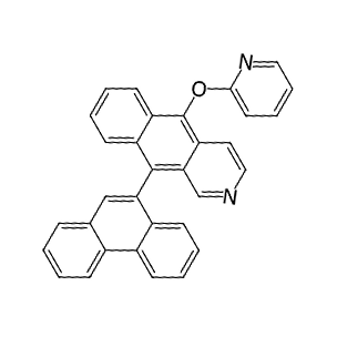 c1ccc(Oc2c3ccccc3c(-c3cc4ccccc4c4ccccc34)c3cnccc23)nc1